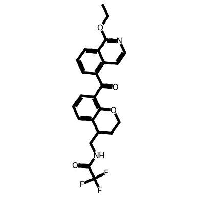 CCOc1nccc2c(C(=O)c3cccc4c3OCCC4CNC(=O)C(F)(F)F)cccc12